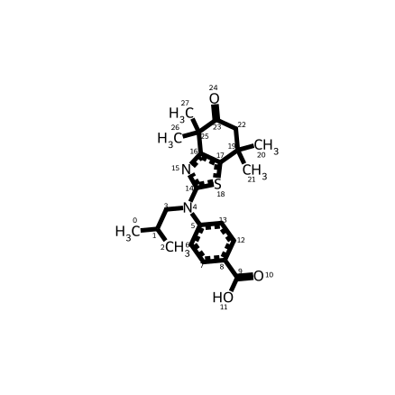 CC(C)CN(c1ccc(C(=O)O)cc1)c1nc2c(s1)C(C)(C)CC(=O)C2(C)C